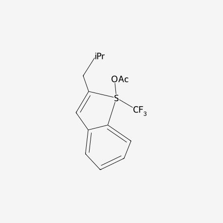 CC(=O)OS1(C(F)(F)F)C(CC(C)C)=Cc2ccccc21